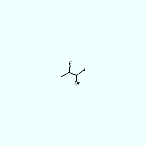 FC(F)C(Br)I